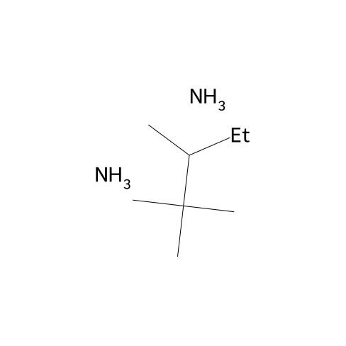 CCC(C)C(C)(C)C.N.N